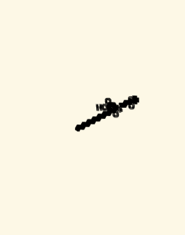 CCCCCCCCCCCCCC1=C(O)C(=O)C=C(N(C)CCCC(=O)OC(C)(C)C)C1=O